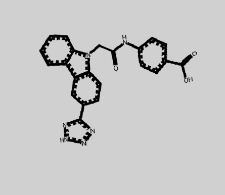 O=C(Cn1c2ccccc2c2cc(-c3nn[nH]n3)ccc21)Nc1ccc(C(=O)O)cc1